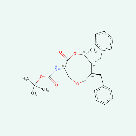 C[C@H]1OC(=O)[C@@H](NC(=O)OC(C)(C)C)COC[C@H](Cc2ccccc2)[C@H]1Cc1ccccc1